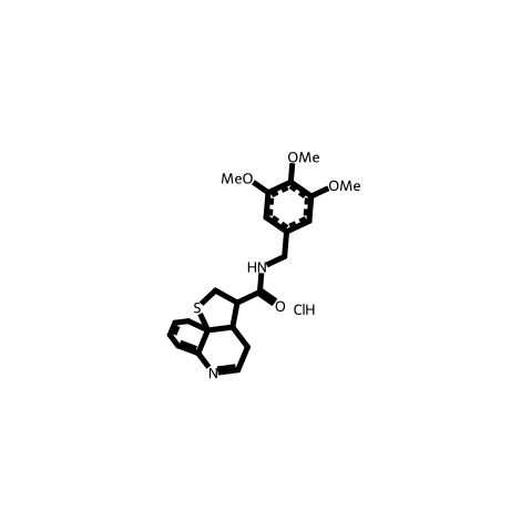 COc1cc(CNC(=O)C2CSC34CC=CC=C3N=CCC24)cc(OC)c1OC.Cl